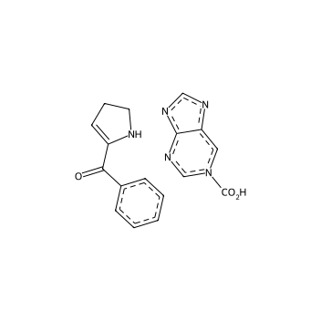 O=C(C1=CCCN1)c1ccccc1.O=C(O)n1cnc2ncnc-2c1